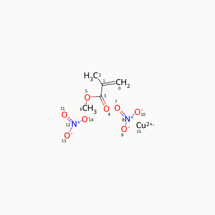 C=C(C)C(=O)OC.O=[N+]([O-])[O-].O=[N+]([O-])[O-].[Cu+2]